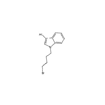 CC(=O)c1cn(CCCCBr)c2ccccc12